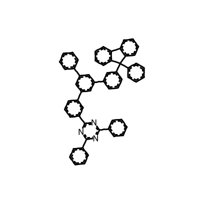 c1ccc(-c2cc(-c3cccc(-c4nc(-c5ccccc5)nc(-c5ccccc5)n4)c3)cc(-c3cccc(C4(c5ccccc5)c5ccccc5-c5ccccc54)c3)c2)cc1